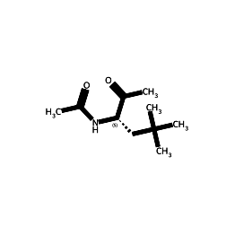 CC(=O)N[C@@H](CC(C)(C)C)C(C)=O